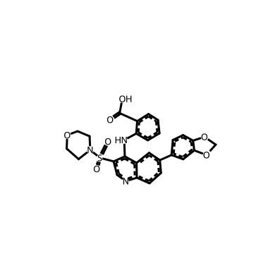 O=C(O)c1ccccc1Nc1c(S(=O)(=O)N2CCOCC2)cnc2ccc(-c3ccc4c(c3)OCO4)cc12